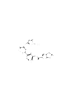 Cc1ccc(-c2cc(Nc3cc(C)n(C)n3)c(=O)[nH]n2)c(F)c1NC(=O)c1cc2c(s1)CC(C)(C)[C@H]2O